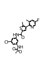 Cc1cc(F)cnc1-c1cc(C(=O)Nc2cc(Cl)cc(NS(C)(=O)=O)c2)sc1C